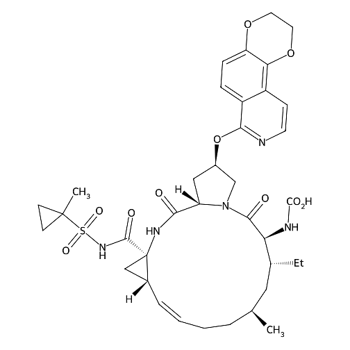 CC[C@@H]1C[C@@H](C)CC/C=C\[C@@H]2C[C@@]2(C(=O)NS(=O)(=O)C2(C)CC2)NC(=O)[C@@H]2C[C@@H](Oc3nccc4c5c(ccc34)OCCO5)CN2C(=O)[C@H]1NC(=O)O